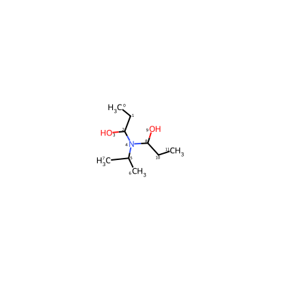 CCC(O)N(C(C)C)C(O)CC